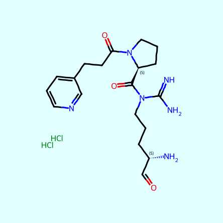 Cl.Cl.N=C(N)N(CCC[C@H](N)C=O)C(=O)[C@@H]1CCCN1C(=O)CCc1cccnc1